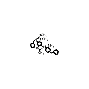 COCCN(Cc1ccccc1)c1cc(NC(C)=O)c(/N=N/c2cc(F)c(Cc3ccccc3)cc2N)cc1OC